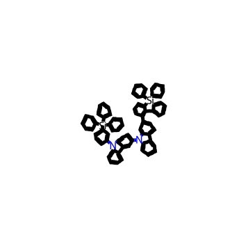 c1ccc([Si](c2ccccc2)(c2ccccc2)c2cccc(-n3c4ccccc4c4cc(-n5c6ccccc6c6ccc(-c7cccc8c7-c7ccccc7[Si]8(c7ccccc7)c7ccccc7)cc65)ccc43)c2)cc1